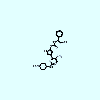 Cc1cnc(NC2CCC(O)CC2)nc1-c1c[nH]c(OC(=O)NC(CO)c2ccccc2)c1